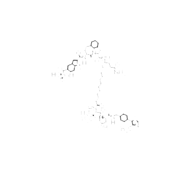 Cc1ncsc1-c1ccc(CNC(=O)[C@@H]2C[C@@H](O)CN2C(=O)C(NC(=O)CCCCCCCCCOC[C@H](CCC(N)=O)NC(=O)[C@@H]2Cc3cccc4c3N2C(=O)[C@@H](NC(=O)c2cc3cc(C(=O)P(=O)(O)O)ccc3[nH]2)CC4)C(C)(C)C)cc1